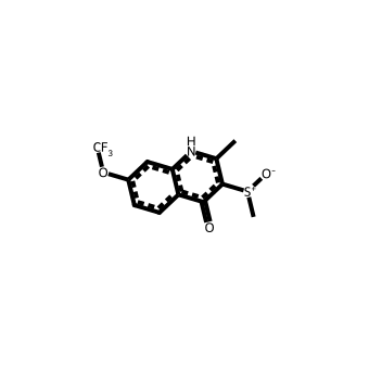 Cc1[nH]c2cc(OC(F)(F)F)ccc2c(=O)c1[S+](C)[O-]